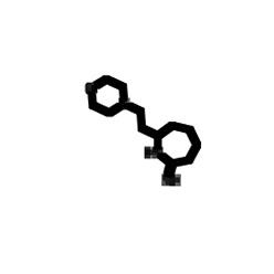 N=C1CCCCC(CCN2CCOCC2)N1